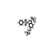 O=S(=O)(Cl)c1cn(S(=O)(=O)c2ccccc2)c2cc(OCC(F)(F)F)ccc12